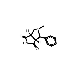 CN1C[C@H]2C(=O)NC(=O)[C@H]2C1c1ccccc1